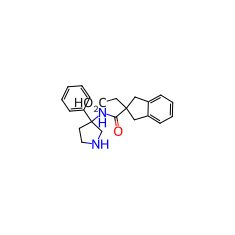 O=C(O)CC1(C(=O)NC2(c3ccccc3)CCNC2)Cc2ccccc2C1